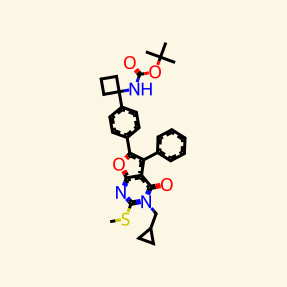 CSc1nc2oc(-c3ccc(C4(NC(=O)OC(C)(C)C)CCC4)cc3)c(-c3ccccc3)c2c(=O)n1CC1CC1